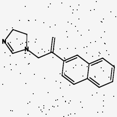 C=C(CN1C=NCC1)c1ccc2ccccc2c1